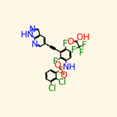 O=C(O)C(F)(F)F.O=S(=O)(Nc1ccc(F)c(C#Cc2cnc3[nH]ncc3c2)c1F)c1cccc(Cl)c1Cl